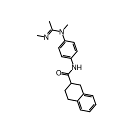 CN=C(C)N(C)c1ccc(NC(=O)C2CCc3ccccc3C2)cc1